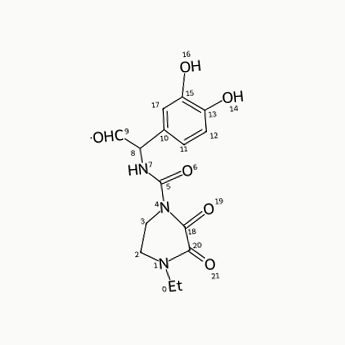 CCN1CCN(C(=O)NC([C]=O)c2ccc(O)c(O)c2)C(=O)C1=O